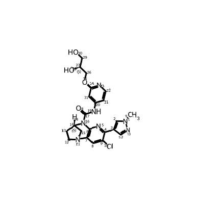 Cn1cc(-c2nc3c(cc2Cl)N2CC[C@@H](C2)N3C(=O)Nc2ccnc(OC[C@@H](O)CO)c2)cn1